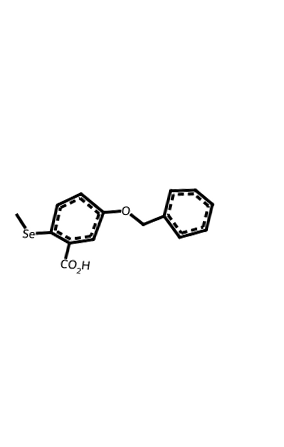 C[Se]c1ccc(OCc2ccccc2)cc1C(=O)O